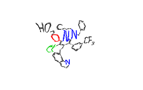 O=C(O)C1CN(Cc2ccccc2)c2c(-c3cccc(C(F)(F)F)c3)c(Cc3cccc4cccnc34)c(Cl)c(=O)n21